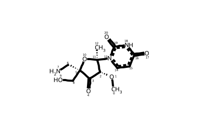 CO[C@@H]1C(=O)[C@@](CN)(CO)O[C@@]1(C)n1ccc(=O)[nH]c1=O